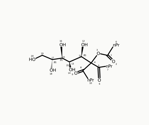 CCCC(=O)OC(C(=O)CCC)(C(=O)CCC)[C@H](O)[C@@H](O)[C@H](O)[C@H](O)CO